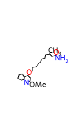 COc1cc(OCCCCCCC=CC(C)=CC(N)=O)c2ccccc2n1